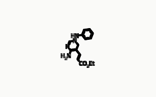 CCOC(=O)C=CC1=C(N)N=CN(Nc2ccccc2)C1